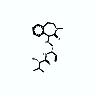 C=C[C@@H](CN[C@@H]1C(=O)N(C)CCc2ccccc21)NC(=O)[C@@H](O)C(C)C